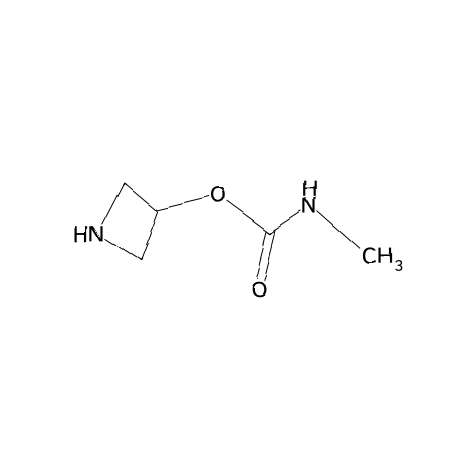 CNC(=O)OC1CNC1